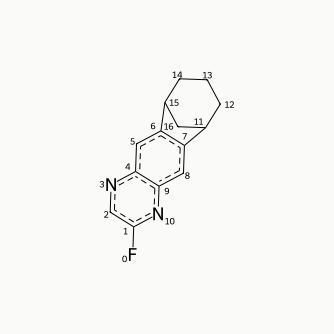 Fc1cnc2cc3c(cc2n1)C1CCCC3C1